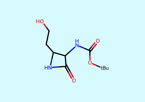 CC(C)(C)OC(=O)NC1C(=O)NC1CCO